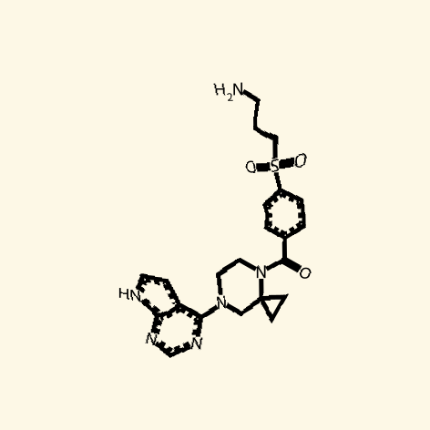 NCCCS(=O)(=O)c1ccc(C(=O)N2CCN(c3ncnc4[nH]ccc34)CC23CC3)cc1